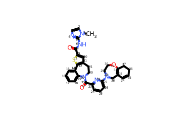 Cn1ccnc1NC(=O)c1cc2c(s1)-c1ccccc1N(C(=O)c1cccc(N3CCOC4=C(C=CCC4)C3)n1)CC2